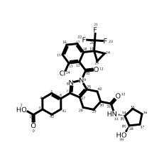 O=C(O)C1CC=C(c2nn(C(=O)c3c(Cl)cccc3C3(C(F)(F)F)CC3)c3c2CCC(C(=O)N[C@@H]2CCC[C@H]2O)C3)CC1